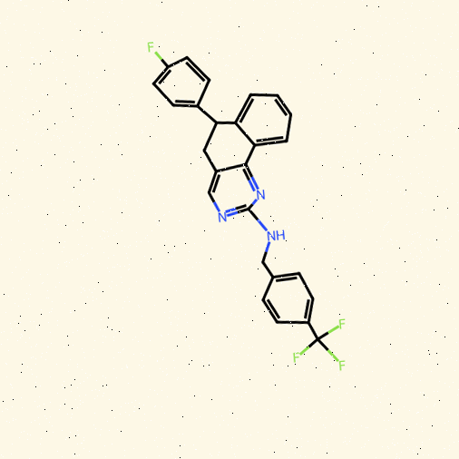 Fc1ccc(C2Cc3cnc(NCc4ccc(C(F)(F)F)cc4)nc3-c3ccccc32)cc1